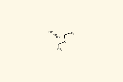 Br.Br.Br.CCOCC